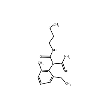 CCc1cccc(C)c1N(C(=N)N)C(=O)NCCOC